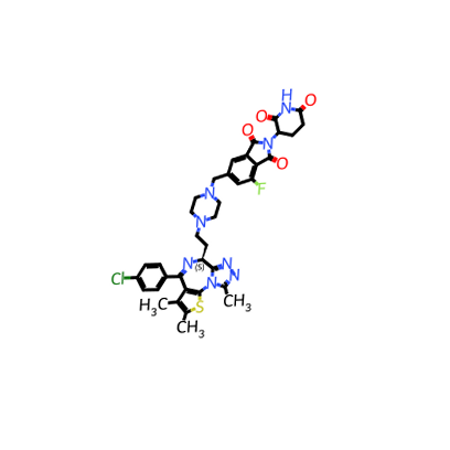 Cc1sc2c(c1C)C(c1ccc(Cl)cc1)=N[C@@H](CCN1CCN(Cc3cc(F)c4c(c3)C(=O)N(C3CCC(=O)NC3=O)C4=O)CC1)c1nnc(C)n1-2